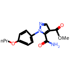 CCCOc1ccc(-n2ncc(C(=O)OC)c2C(N)=O)cc1